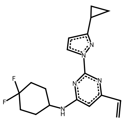 C=Cc1cc(NC2CCC(F)(F)CC2)nc(-n2ccc(C3CC3)n2)n1